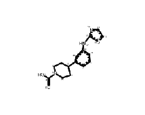 O=C(O)N1CCC(c2cccc(Nc3nccs3)c2)CC1